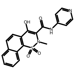 CN1C(C(=O)Nc2ccncc2)=C(O)c2ccc3ccccc3c2S1(=O)=O